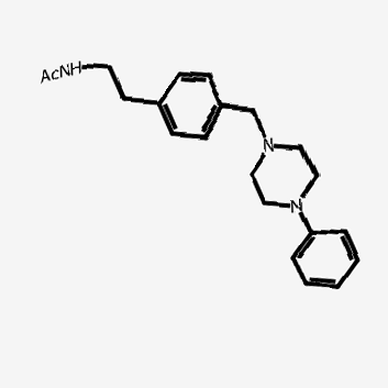 CC(=O)NCCc1ccc(CN2CCN(c3ccccc3)CC2)cc1